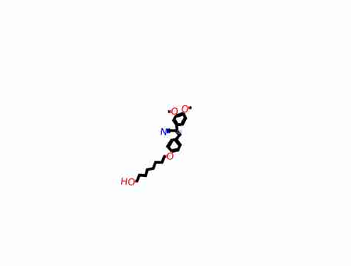 COc1ccc(/C(C#N)=C/c2ccc(OCCCCCCCCO)cc2)cc1OC